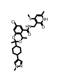 CSc1cc(C)[nH]c(=O)c1CNC(=O)c1cc(Cl)cc2c1C(C)OC(C)(C1CCC(c3cnn(C)c3)CC1)O2